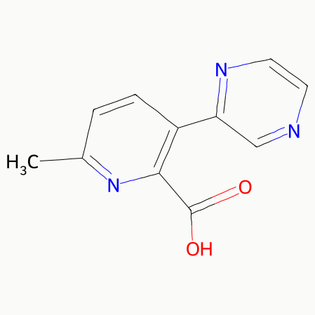 Cc1ccc(-c2cnccn2)c(C(=O)O)n1